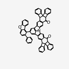 O=C1c2cc3c(cc2C2c4ccccc4C24c2ccccc2C14)c1cc(-c2c(-c4ccccc4)ccc4oc5ccccc5c24)cc2c4cc5c(cc4n3c12)C(=O)C1c2ccccc2C12c1ccccc1C52